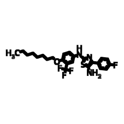 CCCCCCCCOc1ccc(Nc2nc(-c3ccc(F)cc3)c(N)s2)cc1C(F)(F)F